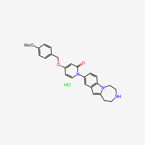 COc1ccc(COc2ccn(-c3ccc4c(c3)cc3n4CCNCC3)c(=O)c2)cc1.Cl